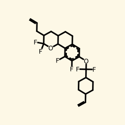 C=CCC1CC2CCc3cc(OC(F)(F)C4CCC(C=C)CC4)c(F)c(F)c3C2OC1(F)F